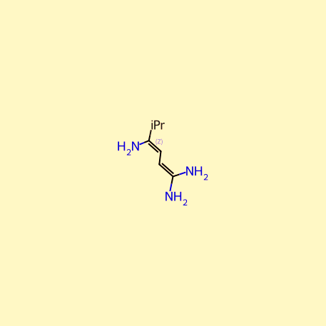 CC(C)/C(N)=C/C=C(N)N